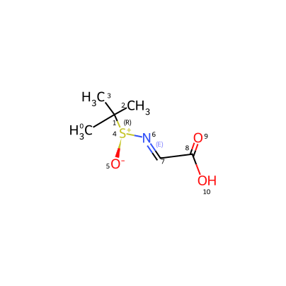 CC(C)(C)[S@+]([O-])/N=C/C(=O)O